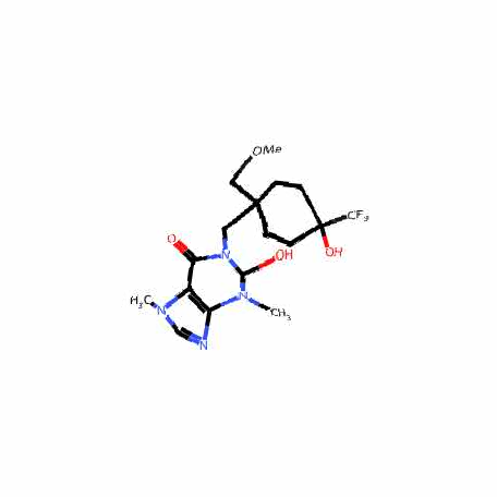 COCC1(CN2C(=O)c3c(ncn3C)N(C)C2O)CCC(O)(C(F)(F)F)CC1